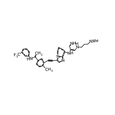 C=C(Nc1cccc(C(F)(F)F)c1)c1ccc(C)c(C#Cc2cnc3c(N/C(C=N)=C/NCCCNC)cccn23)c1